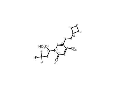 CC(C)(F)CC(C(=O)O)n1cc(CCN2CCC2)c(C(F)(F)F)cc1=O